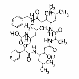 CC(C)CC(COC(C(=O)NC(CC(C)C)C(O)CC(=O)NC(C)C(=O)NC(CC(C)C)C(O)CC(=O)NCc1ccccc1)c1ccccc1)NC(=O)O